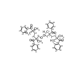 CC(C)(CCC(C)(COOCC(C)(CCC(C)(C)C(=O)c1ccccc1)C(=O)c1ccccc1)C(=O)c1ccccc1)C(=O)c1ccccc1